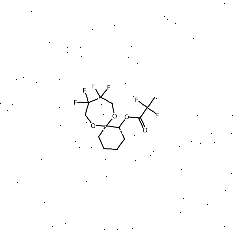 CC(F)(F)C(=O)OC1CCCCC12OCC(F)(F)C(F)(F)CO2